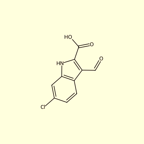 O=Cc1c(C(=O)O)[nH]c2cc(Cl)ccc12